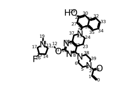 C=CC(=O)N1CCN(c2nc(OC[C@@H]3C[C@@H](F)CN3C)nc3c2CCN(c2cc(O)cc4ccccc24)C3)CC1